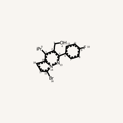 CC(C)c1c(CO)c(-c2ccc(F)cc2)nn2c(Br)ccc12